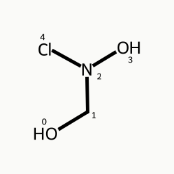 OCN(O)Cl